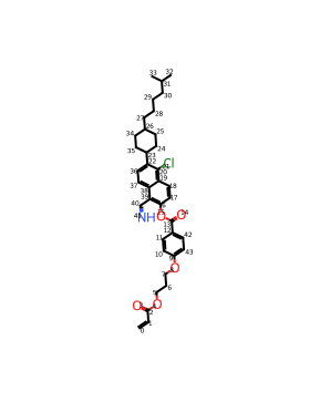 C=CC(=O)OCCCOc1ccc(C(=O)Oc2ccc3c(Cl)c(C4CCC(CCCCC(C)C)CC4)ccc3c2C=N)cc1